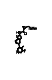 CNCC1CC1C(=O)Nc1nc2ccc(-c3cncc(F)c3C)cc2s1